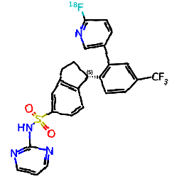 O=S(=O)(Nc1ncccn1)c1ccc2c(c1)CC[C@@H]2c1ccc(C(F)(F)F)cc1-c1ccc([18F])nc1